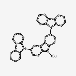 CC(C)(C)n1c2ccc(-n3c4ccccc4c4ccccc43)cc2c2cc(-n3c4ccccc4c4ccccc43)ccc21